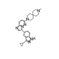 CN1CCC2(CC1)CCN(c1ccc3ncc(-c4ccc5[nH]nc(C6CC6)c5c4)n3n1)CC2